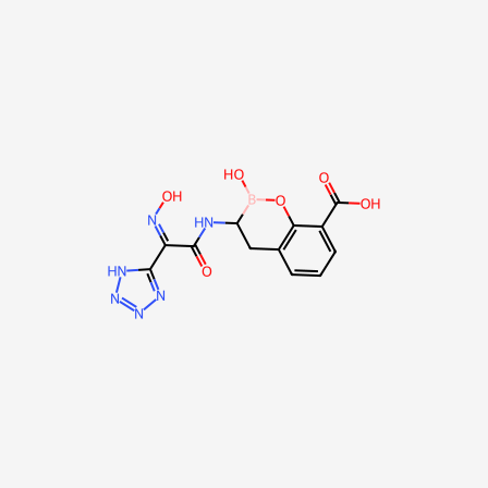 O=C(NC1Cc2cccc(C(=O)O)c2OB1O)C(=NO)c1nnn[nH]1